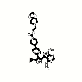 CC(C)(C)n1nc(-c2noc(C3CC3)c2-c2ncc(C3CCN(C(=O)OCCN4CCC5(CC4)OCCO5)CC3)cn2)c2c(N)ncnc21